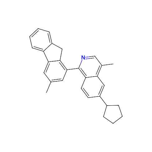 Cc1cc2c(c(-c3ncc(C)c4cc(C5CCCC5)ccc34)c1)Cc1ccccc1-2